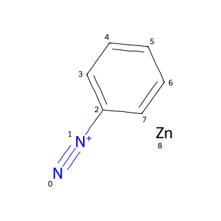 N#[N+]c1ccccc1.[Zn]